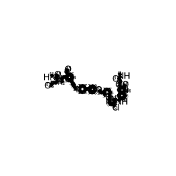 CNC(=O)COc1cc2cc(Nc3nc(N4CCCC(COc5ccc(C6CCN(CC#Cc7ccc(C=O)c(CN(C)C(CCC=O)C(=O)NC)c7)CC6)cc5)C4)ncc3Cl)ccc2n(C)c1=O